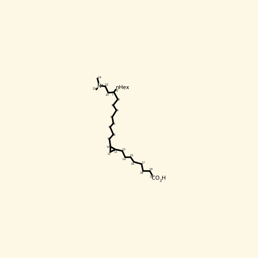 CCCCCCC(CCCCCCCCC1CC1CCCCCCCC(=O)O)CCN(C)C